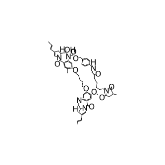 C/C=C/C1=CN2C(=O)c3cc(OC)c(OCCCCCOc4cc5c(cc4C)C(=O)N4C=C(/C=C/C)C[C@H]4[C@H](O)N5C(=O)OCc4ccc(NCC(=O)CCCCCN5C(=O)CC(C)C5=O)cc4)cc3N=C[C@@H]2C1